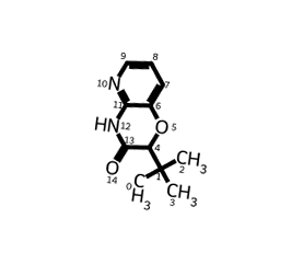 CC(C)(C)C1Oc2cccnc2NC1=O